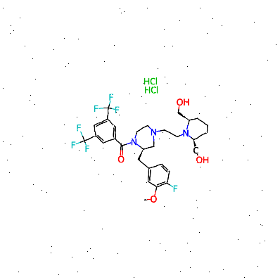 COc1cc(C[C@@H]2CN(CCN3[C@H](CO)CCC[C@@H]3CO)CCN2C(=O)c2cc(C(F)(F)F)cc(C(F)(F)F)c2)ccc1F.Cl.Cl